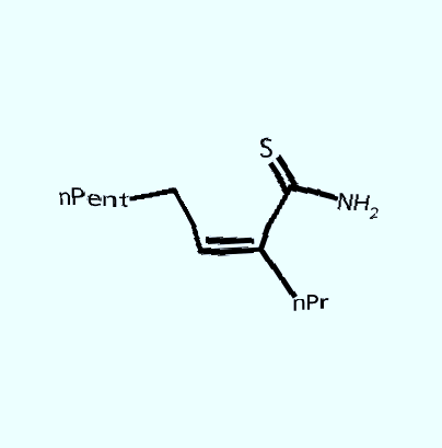 CCCCCCC=C(CCC)C(N)=S